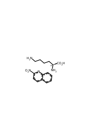 NCCCC[C@H](N)C(=O)O.O=[N+]([O-])c1ccc2ccccc2n1